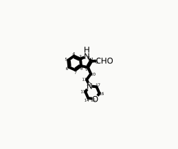 O=Cc1[nH]c2ccccc2c1CCN1CCOCC1